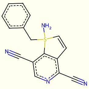 N#Cc1cnc(C#N)c2c1S(N)(Cc1ccccc1)C=C2